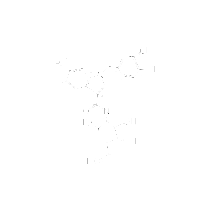 O=C(N[C@H]1C(O)OC(CO)[C@@H](O)C1O)c1cn(Cc2ccc(Cl)c(Cl)c2)c2cc(Br)ccc12